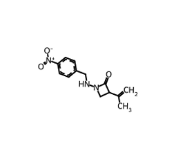 C=C(C)C1CN(NCc2ccc([N+](=O)[O-])cc2)C1=O